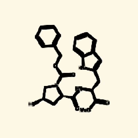 COC(=O)[C@H](Cc1cc2ccccc2[nH]1)NC(=O)[C@@H]1C[C@@H](S)CN1C(=O)OCc1ccccc1